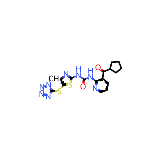 Cn1nnnc1Sc1cnc(NC(=O)Nc2ncccc2C(=O)C2CCCC2)s1